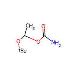 CC(OC(N)=O)OC(C)(C)C